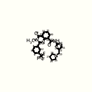 Cn1c(-c2cccc(C(F)(F)F)c2)nc2c(C(=O)Nc3ncc(CN4CCCC4)s3)cccc2c1=O